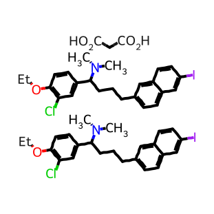 CCOc1ccc(C(CCCc2ccc3cc(I)ccc3c2)N(C)C)cc1Cl.CCOc1ccc(C(CCCc2ccc3cc(I)ccc3c2)N(C)C)cc1Cl.O=C(O)CC(=O)O